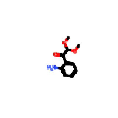 COC(OC)C(=O)c1ccccc1N